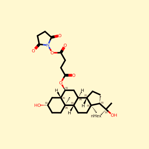 CCCCCC[C@](C)(O)[C@H]1CC[C@H]2[C@@H]3C[C@H](OC(=O)CCC(=O)ON4C(=O)CCC4=O)[C@H]4C[C@@H](O)CC[C@]4(C)[C@H]3CC[C@@]21C